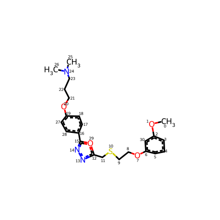 COc1cccc(OCCSCc2nnc(-c3ccc(OCCCN(C)C)cc3)o2)c1